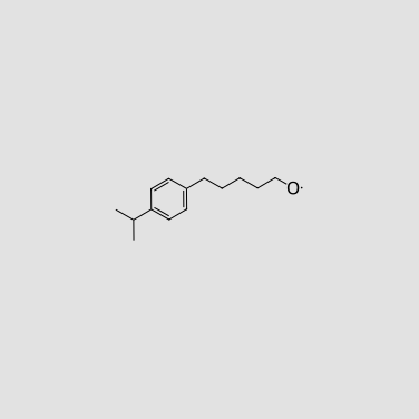 CC(C)c1ccc(CCCCC[O])cc1